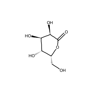 O=C1O[C@H](CO)[C@H](O)[C@@H](O)[C@H]1O